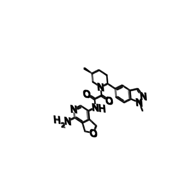 C[C@H]1CCC(c2ccc3c(cnn3C)c2)N(C(=O)C(=O)Nc2cnc(N)c3c2COC3)C1